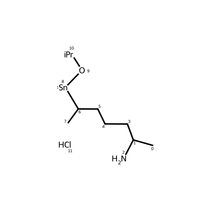 CC(N)CCC[CH](C)[Sn][O]C(C)C.Cl